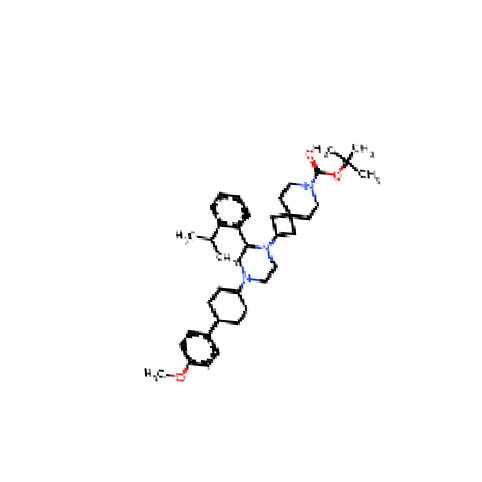 COc1ccc(C2CCC(N3CCN(C4CC5(CCN(C(=O)OC(C)(C)C)CC5)C4)C(c4ccccc4C(C)C)C3)CC2)cc1